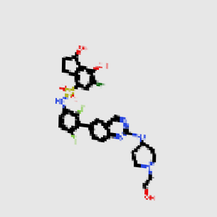 O=S(=O)(Nc1ccc(F)c(-c2ccc3nc(NC4CCN(CCO)CC4)ncc3c2)c1F)c1cc(Cl)c(O)c2c1CCC2O